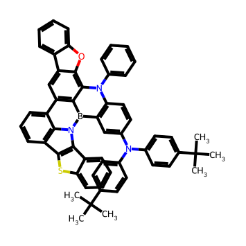 CC(C)(C)c1ccc(N(c2ccc(C(C)(C)C)cc2)c2ccc3c(c2)B2c4c(cc5c(oc6ccccc65)c4N3c3ccccc3)-c3cccc4c5sc6ccccc6c5n2c34)cc1